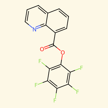 O=C(Oc1c(F)c(F)c(F)c(F)c1F)c1cccc2cccnc12